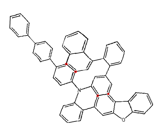 c1ccc(-c2ccc(-c3ccc(N(c4cccc(-c5ccccc5-c5cccc6ccccc56)c4)c4ccccc4-c4ccc5c(c4)oc4ccccc45)cc3)cc2)cc1